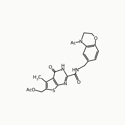 CC(=O)OCc1sc2nc(C(=O)NCc3ccc4c(c3)N(C(C)=O)CCO4)[nH]c(=O)c2c1C